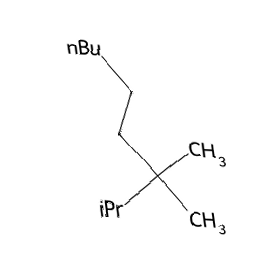 CCCCCCC(C)(C)C(C)C